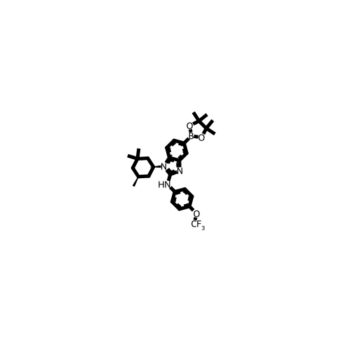 C[C@@H]1C[C@H](n2c(Nc3ccc(OC(F)(F)F)cc3)nc3cc(B4OC(C)(C)C(C)(C)O4)ccc32)CC(C)(C)C1